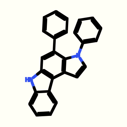 c1ccc(-c2cc3[nH]c4ccccc4c3c3ccn(-c4ccccc4)c23)cc1